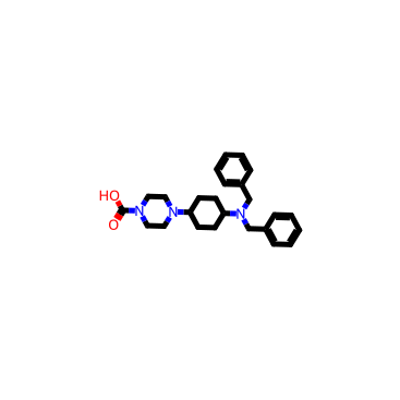 O=C(O)N1CCN(C2CCC(N(Cc3ccccc3)Cc3ccccc3)CC2)CC1